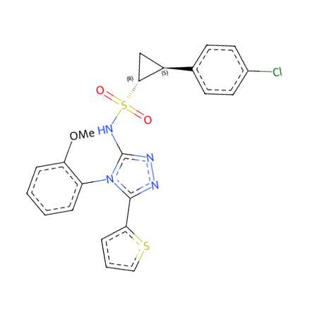 COc1ccccc1-n1c(NS(=O)(=O)[C@@H]2C[C@H]2c2ccc(Cl)cc2)nnc1-c1cccs1